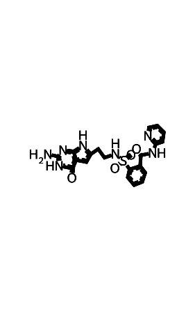 Nc1nc2[nH]c(CCNS(=O)(=O)c3ccccc3C(=O)Nc3ccccn3)cc2c(=O)[nH]1